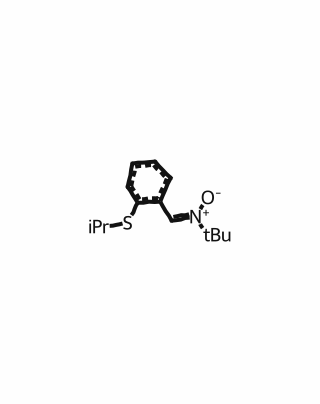 CC(C)Sc1ccccc1C=[N+]([O-])C(C)(C)C